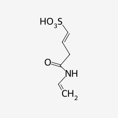 C=CNC(=O)CC=CS(=O)(=O)O